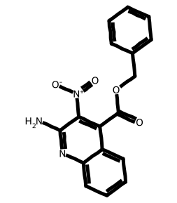 Nc1nc2ccccc2c(C(=O)OCc2ccccc2)c1[N+](=O)[O-]